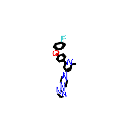 Cc1cc(N2CCN(c3ncccn3)CC2)cc(-c2ccc(Oc3ccc(F)cc3)cc2)n1